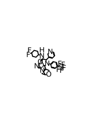 N#CN1CC2CC1(C(=O)N(c1ccc(S(F)(F)(F)(F)F)cc1)C(C(=O)NC1CCC(F)(F)CC1)c1cccnc1)CO2